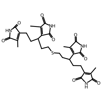 CC1=C(CCC(CCSCCC(CCC2=C(C)C(=O)NC2=O)C2=C(C)C(=O)NC2=O)C2=C(C)C(=O)NC2=O)C(=O)NC1=O